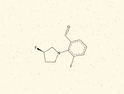 O=Cc1cccc(F)c1N1CC[C@@H](F)C1